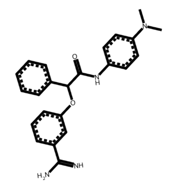 CN(C)c1ccc(NC(=O)C(Oc2cccc(C(=N)N)c2)c2ccccc2)cc1